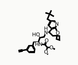 C#Cc1cccc(C[C@H](NC(=O)C(OC)OC)[C@H](O)CN[C@H]2CC3(CCC3)Oc3ncc(CC(C)(C)C)cc32)c1